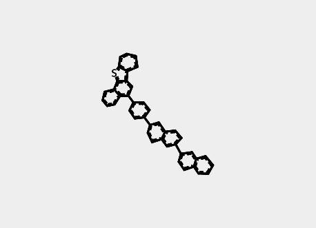 c1ccc2cc(-c3ccc4cc(-c5ccc(-c6cc7c8ccccc8sc7c7ccccc67)cc5)ccc4c3)ccc2c1